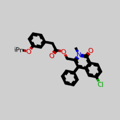 CC(C)Oc1cccc(CC(=O)OCc2c(-c3ccccc3)c3cc(Cl)ccc3c(=O)n2C)c1